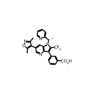 Cc1noc(C)c1-c1cnc2c(-c3cccc(C(=O)O)c3)c(C(F)(F)F)n([C@@H](C)c3ccccn3)c2c1